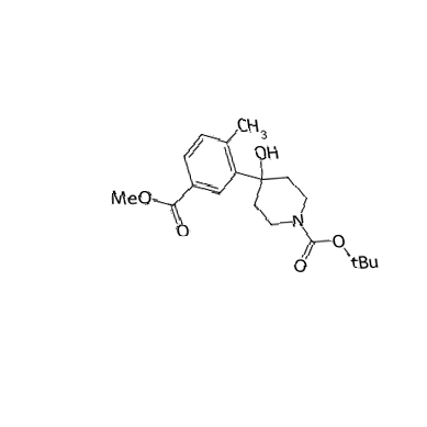 COC(=O)c1ccc(C)c(C2(O)CCN(C(=O)OC(C)(C)C)CC2)c1